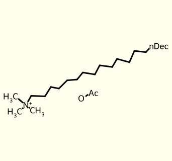 CC(=O)[O-].CCCCCCCCCCCCCCCCCCCCCCCC[N+](C)(C)C